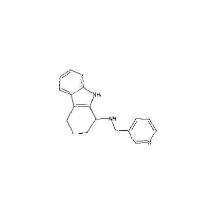 c1cncc(CNC2CCCc3c2[nH]c2ccccc32)c1